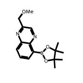 COCc1cnc2c(B3OC(C)(C)C(C)(C)O3)cccc2n1